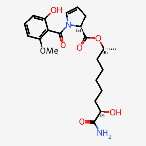 COc1cccc(O)c1C(=O)N1C=CC[C@H]1C(=O)O[C@H](C)CCCCC[C@@H](O)C(N)=O